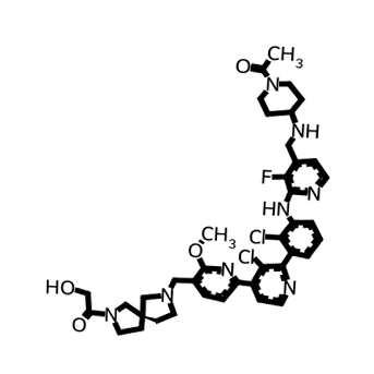 COc1nc(-c2ccnc(-c3cccc(Nc4nccc(CNC5CCN(C(C)=O)CC5)c4F)c3Cl)c2Cl)ccc1CN1CC[C@]2(CCN(C(=O)CO)C2)C1